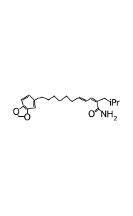 CC(C)CC(=CC=CCCCCCCc1ccc2c(c1)OCO2)C(N)=O